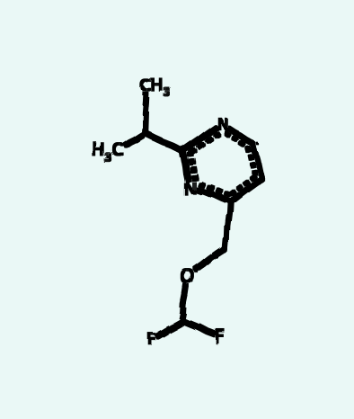 CC(C)c1n[c]cc(COC(F)F)n1